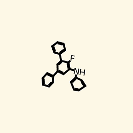 Fc1c(Nc2ccccc2)cc(-c2ccccc2)cc1-c1ccccc1